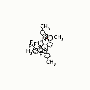 Cc1ccc2c(c1)c1cc(C)ccc1n2-c1ccc(-c2c(C(F)(F)F)cccc2C(F)(F)F)cc1-c1c(C#N)cccc1-n1c2ccc(C)cc2c2cc(C)ccc21